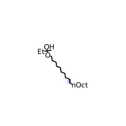 CCCCCCCC/C=C/CCCCCCCCOC(C)(O)CC